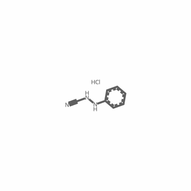 Cl.N#CNNc1ccccc1